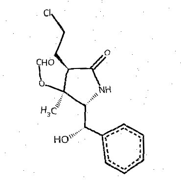 C[C@@]1(OC=O)[C@@H]([C@@H](O)c2ccccc2)NC(=O)[C@@H]1CCCl